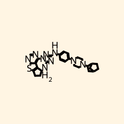 Nc1nc(Nc2ccc(N3CCN(C4CC5CCC4C5)CC3)cc2)nn1-c1ncnc2sc3c(c12)CCC3